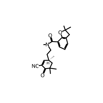 CN(CC[C@]1(C)C=C(C#N)C(=O)C(C)(C)C1)C(=O)c1cccc2c1OC(C)(C)C2